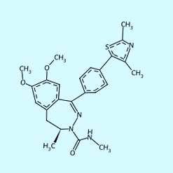 CNC(=O)N1N=C(c2ccc(-c3sc(C)nc3C)cc2)c2cc(OC)c(OC)cc2C[C@@H]1C